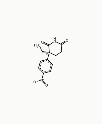 CC[C@]1(c2ccc([N+](=O)[O-])cc2)CCC(=O)NC1=O